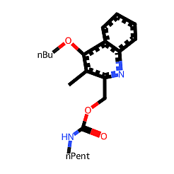 CCCCCNC(=O)OCc1nc2ccccc2c(OCCCC)c1C